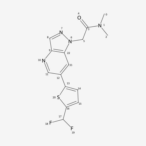 CN(C)C(=O)Cn1ncc2ncc(-c3ccc(C(F)F)s3)cc21